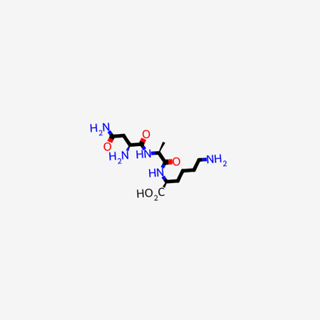 C[C@H](NC(=O)[C@@H](N)CC(N)=O)C(=O)N[C@@H](CCCCN)C(=O)O